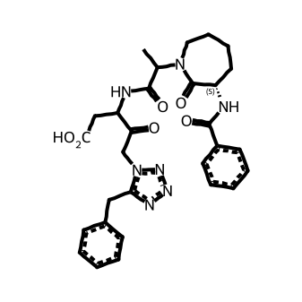 CC(C(=O)NC(CC(=O)O)C(=O)Cn1nnnc1Cc1ccccc1)N1CCCC[C@H](NC(=O)c2ccccc2)C1=O